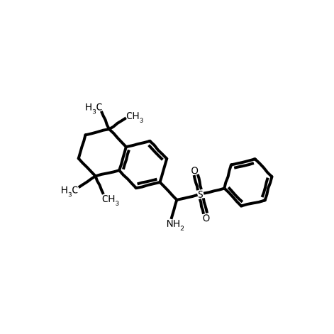 CC1(C)CCC(C)(C)c2cc(C(N)S(=O)(=O)c3ccccc3)ccc21